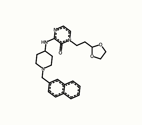 O=c1c(NC2CCN(Cc3ccc4ccccc4c3)CC2)nccn1CCC1OCCO1